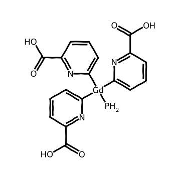 O=C(O)c1ccc[c]([Gd]([PH2])([c]2cccc(C(=O)O)n2)[c]2cccc(C(=O)O)n2)n1